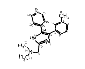 Cc1cccc(-c2nc(CN(C)C)[nH]c2-c2ccncc2)c1